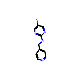 Clc1cnc(NCc2ccncc2)nc1